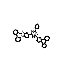 c1ccc(-c2nc(-c3ccc4c(c3)nc3c5ccccc5c5ccccc5n43)nc(-c3ccc4c5ccccc5c5ccccc5c4c3)n2)cc1